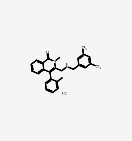 Cc1ccccc1-c1c(CNCc2cc(C(F)(F)F)cc(C(F)(F)F)c2)n(C)c(=O)c2ccccc12.Cl